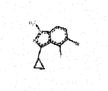 Cn1nc(C2CC2)c2c(F)c(Br)ccc21